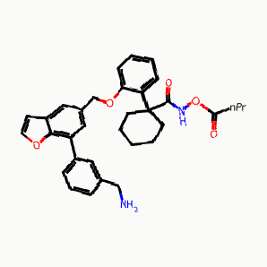 CCCC(=O)ONC(=O)C1(c2ccccc2OCc2cc(-c3cccc(CN)c3)c3occc3c2)CCCCC1